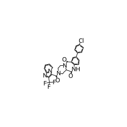 O=C1Nc2ccc(-c3ccc(Cl)cc3)cc2C(=O)N2CCN(C(=O)c3c(C(F)(F)F)nc4ccccn34)CC12